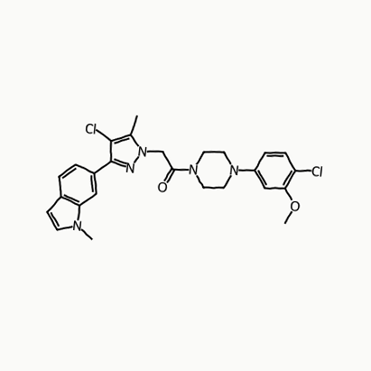 COc1cc(N2CCN(C(=O)Cn3nc(-c4ccc5ccn(C)c5c4)c(Cl)c3C)CC2)ccc1Cl